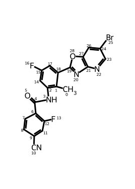 Cc1c(NC(=O)c2ccc(C#N)cc2F)cc(F)cc1-c1nc2ncc(Br)cc2o1